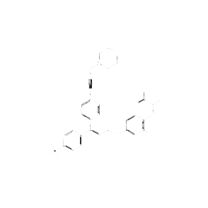 Cc1cc(OC/C=C(\c2ccc(C#CCN3CCOCC3)cc2)c2ccc(C(C)(C)C)cc2)ccc1OC(C)C(=O)O